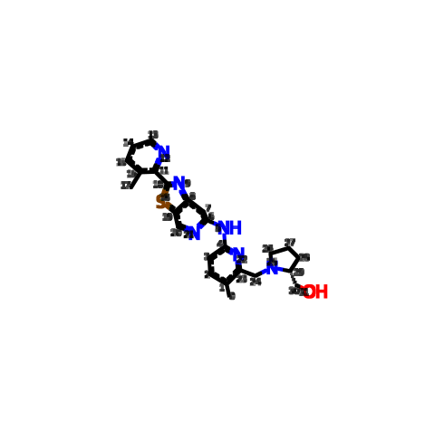 Cc1ccc(Nc2cc3nc(-c4ncccc4C)sc3cn2)nc1CN1CCC[C@@H]1CO